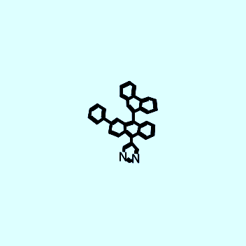 c1ccc(-c2ccc3c(-c4cncnc4)c4ccccc4c(-c4cc5ccccc5c5ccccc45)c3c2)cc1